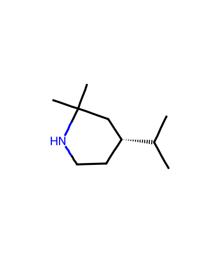 CC(C)[C@@H]1CCNC(C)(C)C1